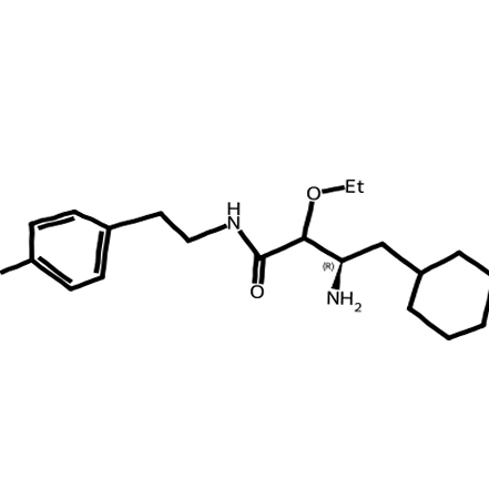 CCOC(C(=O)NCCc1ccc(F)cc1)[C@H](N)CC1CCCCC1